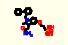 CC1C(CC(N)=O)c2cc(OCCCP(=O)(O)O)ccc2N1Cc1ccccc1-c1ccccc1